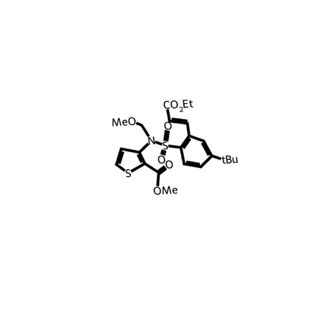 CCOC(=O)/C=C/c1cc(C(C)(C)C)ccc1S(=O)(=O)N(COC)c1ccsc1C(=O)OC